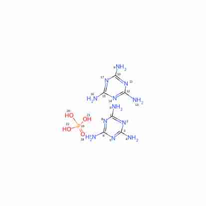 Nc1nc(N)nc(N)n1.Nc1nc(N)nc(N)n1.O=P(O)(O)O